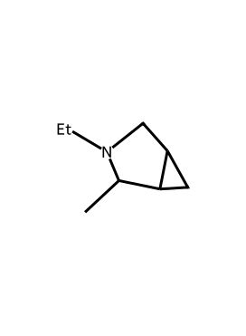 CCN1CC2CC2C1C